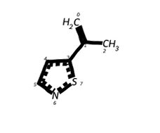 C=C(C)c1ccns1